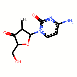 CC1C(=O)C(CO)OC1n1ccc(N)nc1=O